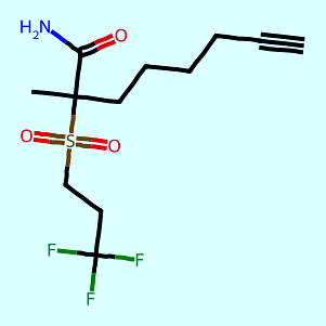 C#CCCCCC(C)(C(N)=O)S(=O)(=O)CCC(F)(F)F